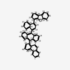 c1ccc2c(c1)ccc1c(-c3c4ccccc4c(-c4ccc(-c5cccc6c5oc5ccccc56)c5ccccc45)c4ccccc34)cccc12